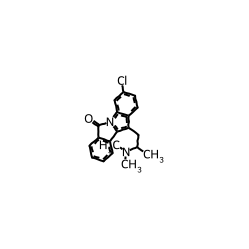 CC(Cc1c2n(c3cc(Cl)ccc13)C(=O)c1ccccc1-2)N(C)C